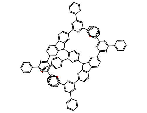 N#Cc1ccc(-c2cc(-n3c4cc(-c5nc(-c6ccccc6)nc(-c6ccccc6)n5)ccc4c4ccc(-c5nc(-c6ccccc6)nc(-c6ccccc6)n5)cc43)ncc2-n2c3cc(-c4nc(-c5ccccc5)nc(-c5ccccc5)n4)ccc3c3ccc(-c4nc(-c5ccccc5)nc(-c5ccccc5)n4)cc32)cc1